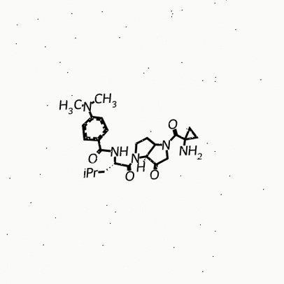 CC(C)C[C@H](NC(=O)c1ccc(N(C)C)cc1)C(=O)N1CCC2[C@H]1C(=O)CN2C(=O)C1(N)CC1